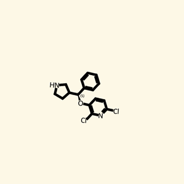 Clc1ccc(O[C@H](c2ccccc2)C2CCNC2)c(Cl)n1